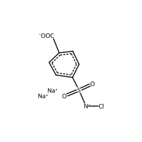 O=C([O-])c1ccc(S(=O)(=O)[N-]Cl)cc1.[Na+].[Na+]